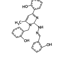 CC1=CC(c2ccccc2O)=NC(NN=Cc2ccccc2O)N1Cc1ccccc1O